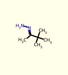 C/C(=N\N)C(C)(C)C